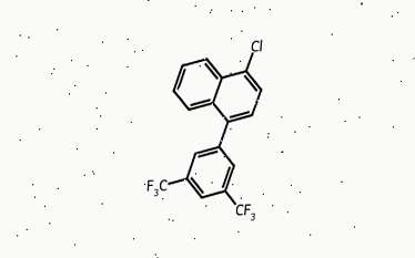 FC(F)(F)c1cc(-c2ccc(Cl)c3ccccc23)cc(C(F)(F)F)c1